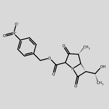 C[C@H]1C(=O)C(C(=O)OCc2ccc([N+](=O)[O-])cc2)N2C(=O)[C@@H]([C@@H](C)O)C12